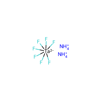 [F][Ta-2]([F])([F])([F])([F])([F])[F].[NH4+].[NH4+]